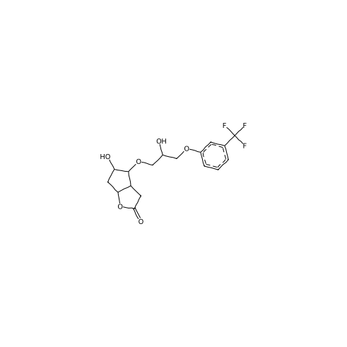 O=C1CC2C(CC(O)C2OCC(O)COc2cccc(C(F)(F)F)c2)O1